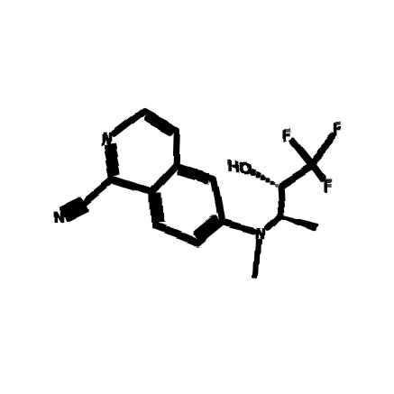 C[C@H]([C@H](O)C(F)(F)F)N(C)c1ccc2c(C#N)nccc2c1